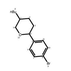 CCCCC1CCC(c2ccc(Br)cc2)OC1